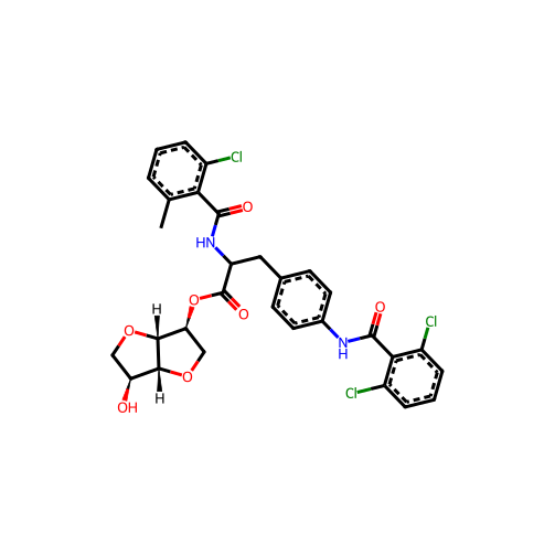 Cc1cccc(Cl)c1C(=O)NC(Cc1ccc(NC(=O)c2c(Cl)cccc2Cl)cc1)C(=O)O[C@H]1CO[C@H]2[C@@H]1OC[C@@H]2O